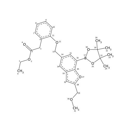 CCOC(=O)Cc1ccccc1OCc1cc(B2OC(C)(C)C(C)(C)O2)c2oc(COC)cc2c1